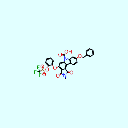 CN1C(=O)c2c(Oc3ccccc3OS(=O)(=O)C(F)(F)F)cc3c(c2C1=O)c1ccc(OCc2ccccc2)cc1n3C(=O)O